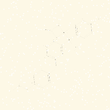 CC(C)c1ccc(C(O)(c2cnnc(Oc3ccc(CCO)cc3)c2)C2(C)CN(C)C2)cc1